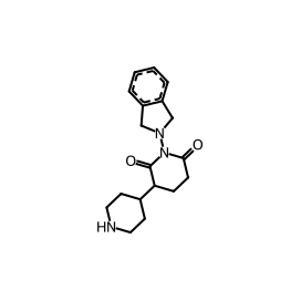 O=C1CCC(C2CCNCC2)C(=O)N1N1Cc2ccccc2C1